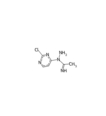 CC(=N)N(N)c1ccnc(Cl)n1